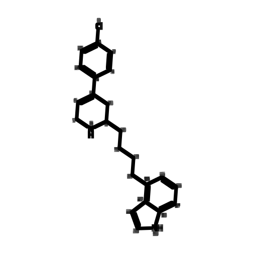 Clc1ccc(C2=CCNC(CCCCc3cccc4[nH]ccc34)C2)cc1